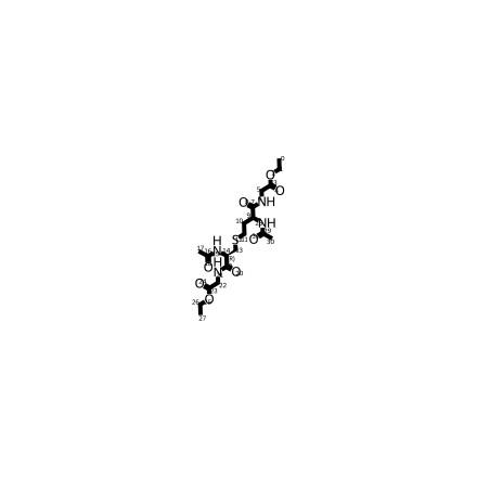 CCOC(=O)CNC(=O)C(CCSC[C@H](NC(C)=O)C(=O)NCC(=O)OCC)NC(C)=O